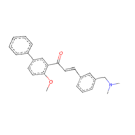 COc1ccc(-c2ccccc2)cc1C(=O)C=Cc1cccc(CN(C)C)c1